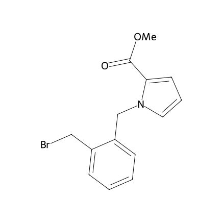 COC(=O)c1cccn1Cc1ccccc1CBr